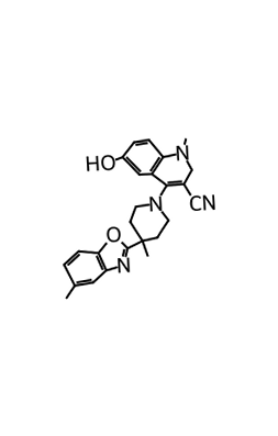 Cc1ccc2oc(C3(C)CCN(C4=C(C#N)CN(C)c5ccc(O)cc54)CC3)nc2c1